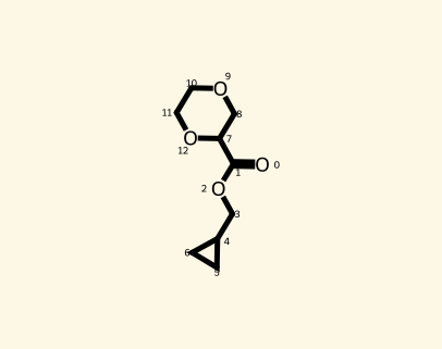 O=C(OCC1CC1)C1COCCO1